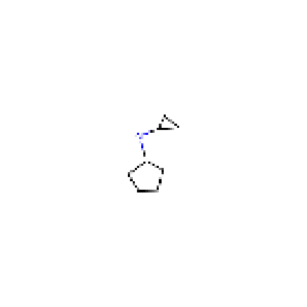 C1CCC([N]C2CC2)C1